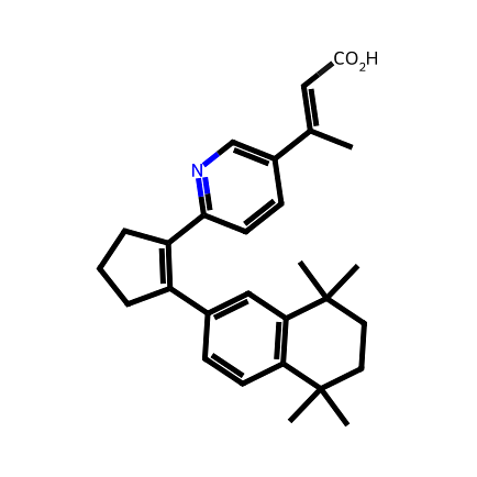 CC(=CC(=O)O)c1ccc(C2=C(c3ccc4c(c3)C(C)(C)CCC4(C)C)CCC2)nc1